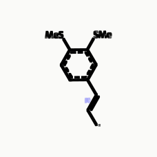 [CH2]/C=C/c1ccc(SC)c(SC)c1